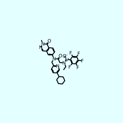 CCN(CC(=O)N(Cc1ccc(C2CCCCC2)cn1)c1ccc2c(=O)n(C)ncc2c1)[S+]([O-])c1c(F)c(F)c(F)c(F)c1F